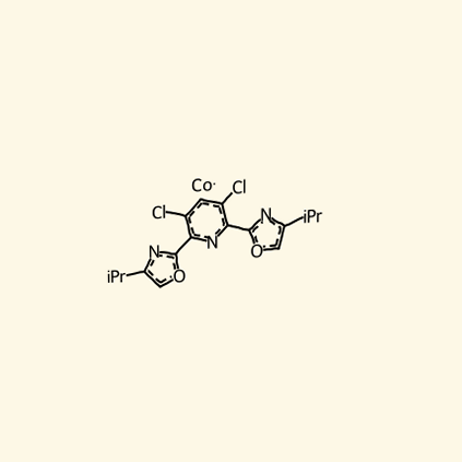 CC(C)c1coc(-c2nc(-c3nc(C(C)C)co3)c(Cl)cc2Cl)n1.[Co]